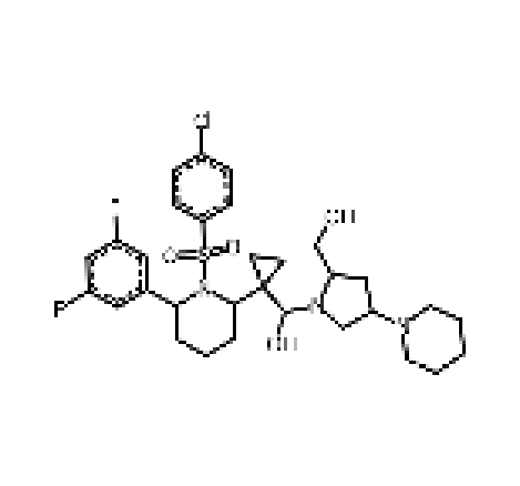 O=S(=O)(c1ccc(Cl)cc1)N1C(c2cc(F)cc(F)c2)CCCC1C1(C(O)N2CC(N3CCCCC3)CC2CO)CC1